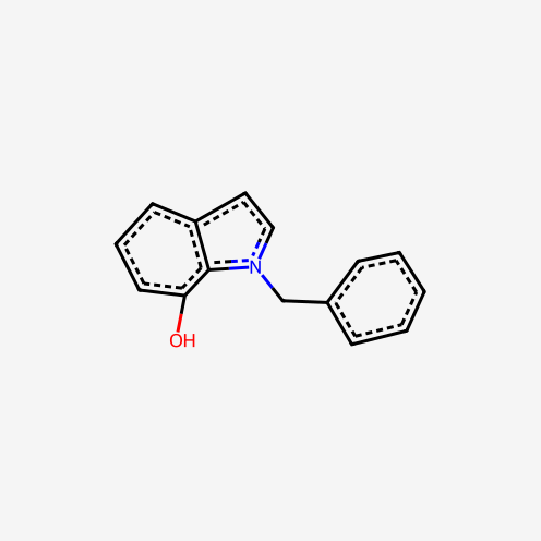 Oc1cccc2ccn(Cc3ccccc3)c12